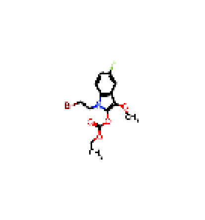 CCOC(=O)Oc1c(OC)c2cc(F)ccc2n1CCBr